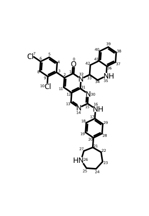 O=c1c(-c2ccc(Cl)cc2Cl)cc2cnc(Nc3ccc(C4CCCCNC4)cc3)nc2n1C1CNc2ccccc2C1